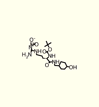 CC(C)(C)OC(=O)N[C@H](CCCN/C(N)=N\[N+](=O)[O-])C(=O)NCC1CCC(O)CC1